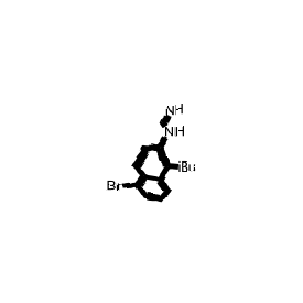 CCC(C)c1c(NC=N)ccc2c(Br)cccc12